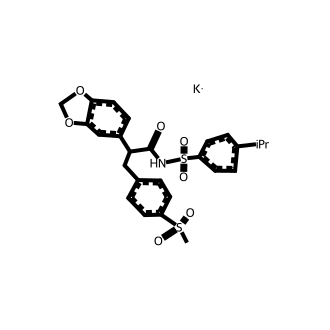 CC(C)c1ccc(S(=O)(=O)NC(=O)C(Cc2ccc(S(C)(=O)=O)cc2)c2ccc3c(c2)OCO3)cc1.[K]